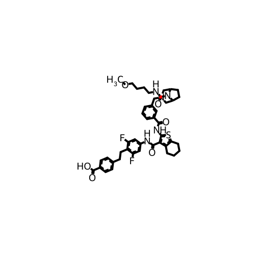 COCCCCNC(=O)N1C2CCC1CN(Cc1cccc(C(=O)Nc3sc4c(c3C(=O)Nc3cc(F)c(CCc5ccc(C(=O)O)cc5)c(F)c3)CCCC4)c1)C2